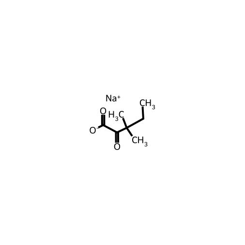 CCC(C)(C)C(=O)C(=O)[O-].[Na+]